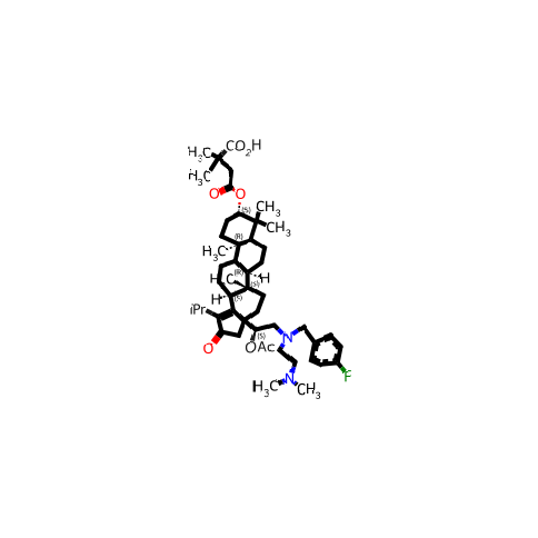 CC(=O)O[C@H](CN(CCN(C)C)Cc1ccc(F)cc1)C12CC[C@]3(C)[C@H](CCC4[C@H]3CCC3C(C)(C)[C@@H](OC(=O)CC(C)(C)C(=O)O)CC[C@]43C)C1=C(C(C)C)C(=O)C2